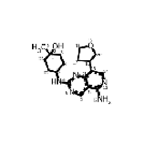 CC1(O)CCC(Nc2ncc3c(N)ncc(C4CCOC4)c3n2)CC1